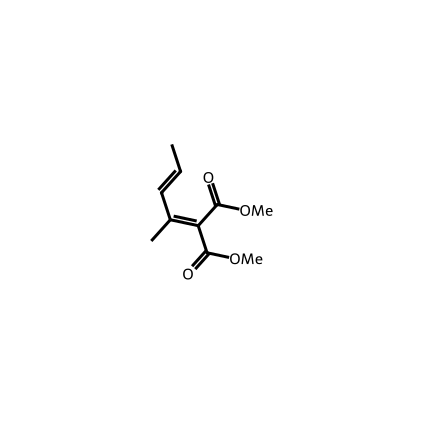 C/C=C/C(C)=C(C(=O)OC)C(=O)OC